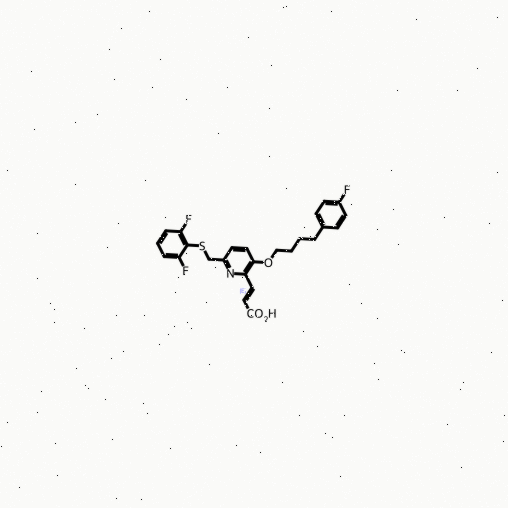 O=C(O)/C=C/c1nc(CSc2c(F)cccc2F)ccc1OCCCCc1ccc(F)cc1